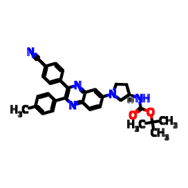 Cc1ccc(-c2nc3ccc(N4CC[C@@H](NC(=O)OC(C)(C)C)C4)cc3nc2-c2ccc(C#N)cc2)cc1